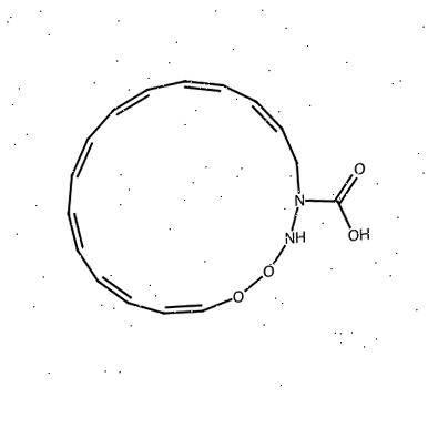 O=C(O)N1CC=CC=CC=CC=CC=CC=CC=COON1